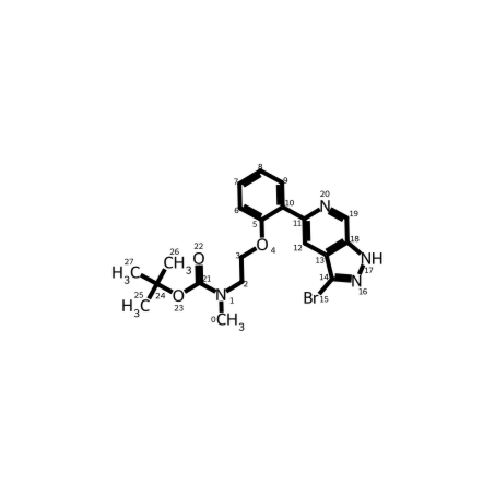 CN(CCOc1ccccc1-c1cc2c(Br)n[nH]c2cn1)C(=O)OC(C)(C)C